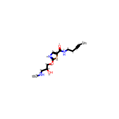 CCCC#CCCNC(=O)c1cnc(OCC(O)CNC(C)(C)C)s1